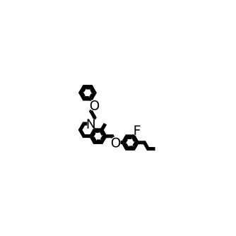 CCCc1ccc(OCc2ccc3c(c2C)N(CCOc2ccccc2)CCC3)cc1F